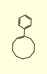 C1=C(c2ccccc2)CCCCCCCC1